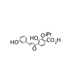 CC(C)Oc1c(C(=O)O)ccc(C(=O)/C=C/c2cccc(O)c2)c1O